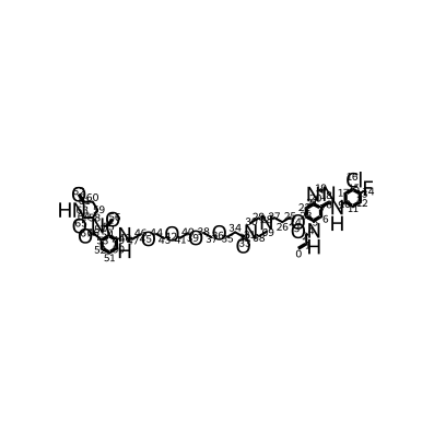 C=CC(=O)Nc1cc2c(Nc3ccc(F)c(Cl)c3)ncnc2cc1OCCCN1CCN(C(=O)CCOCCOCCOCCOCCNc2cccc3c2C(=O)N(C2CCC(=O)NC2=O)C3=O)CC1